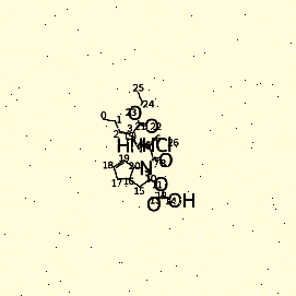 CCC[C@H](N[C@@H](C)C(=O)N1C(OC(=O)O)CC2CC=CC21)C(=O)OCC.Cl